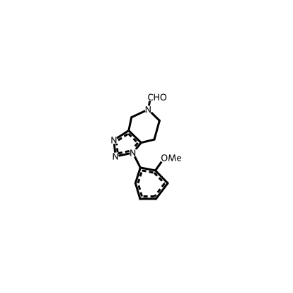 COc1ccccc1-n1nnc2c1CCN(C=O)C2